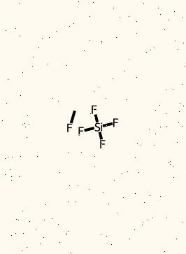 CF.F[Si](F)(F)F